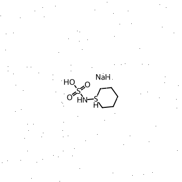 O=S(=O)(O)N[SH]1CCCCC1.[NaH]